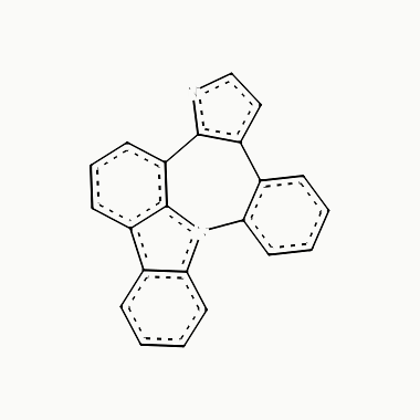 c1ccc2c(c1)-c1cc[nH]c1-c1cccc3c4ccccc4n-2c13